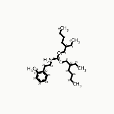 CCCCC(CC)COC(OCC(CC)CCCC)[SiH2]CCc1ccccc1C